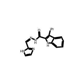 CC(C)c1c(C(=O)N/N=C\c2ncc[nH]2)[nH]c2ccccc12